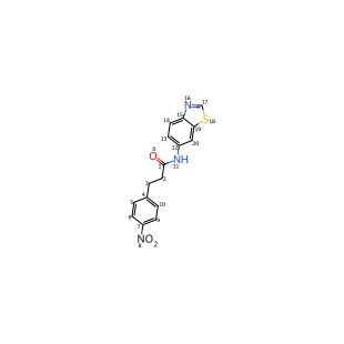 O=C(CCc1ccc([N+](=O)[O-])cc1)Nc1ccc2ncsc2c1